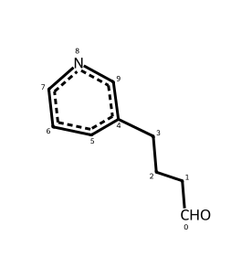 O=CCCCc1cccnc1